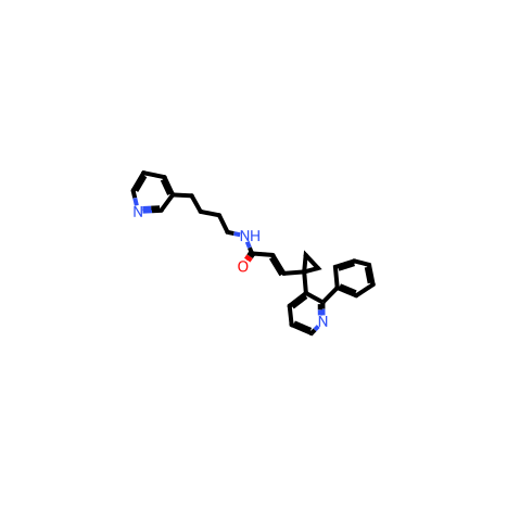 O=C(C=CC1(c2cccnc2-c2ccccc2)CC1)NCCCCc1cccnc1